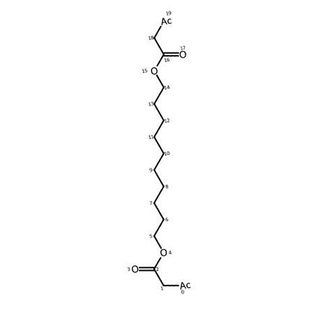 CC(=O)CC(=O)OCCCCCCCCCCOC(=O)CC(C)=O